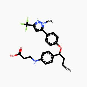 CCCC(Oc1ccc(-c2cc(C(F)(F)F)nn2C)cc1)c1ccc(NCCC(=O)O)cc1